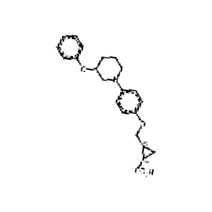 O=C(O)[C@@H]1C[C@@H]1COc1ccc(N2CCCC(Oc3ccccc3)C2)cc1